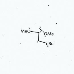 CCCCCCOC.COC